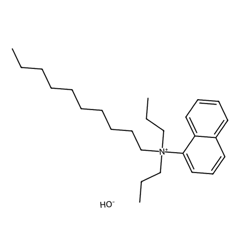 CCCCCCCCCC[N+](CCC)(CCC)c1cccc2ccccc12.[OH-]